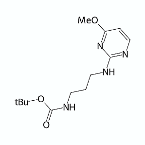 COc1ccnc(NCCCNC(=O)OC(C)(C)C)n1